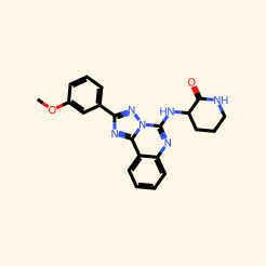 COc1cccc(-c2nc3c4ccccc4nc(NC4CCCNC4=O)n3n2)c1